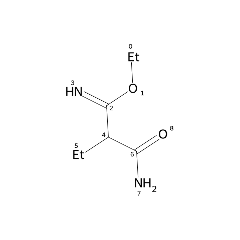 CCOC(=N)C(CC)C(N)=O